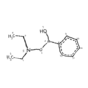 CCN(CC)OB(O)c1ccccc1